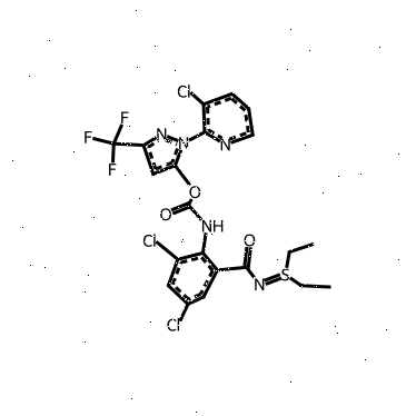 CCS(CC)=NC(=O)c1cc(Cl)cc(Cl)c1NC(=O)Oc1cc(C(F)(F)F)nn1-c1ncccc1Cl